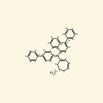 C[C@H]1CC=CC=C(N(c2ccc(-c3ccccc3)cc2)c2ccc(-c3ccccc3)c3ccccc23)C1